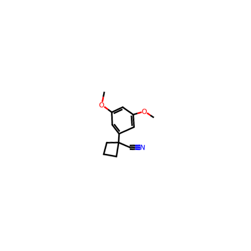 COc1cc(OC)cc(C2(C#N)CCC2)c1